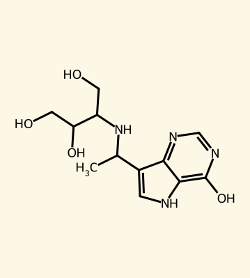 CC(NC(CO)C(O)CO)c1c[nH]c2c(O)ncnc12